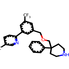 N#Cc1ccc(-c2cc(COCC3(c4ccccc4)CCNCC3)cc(C(F)(F)F)c2)nc1